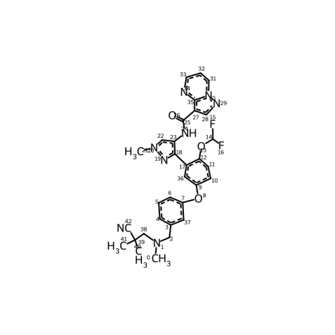 CN(Cc1cccc(Oc2ccc(OC(F)F)c(-c3nn(C)cc3NC(=O)c3cnn4cccnc34)c2)c1)CC(C)(C)C#N